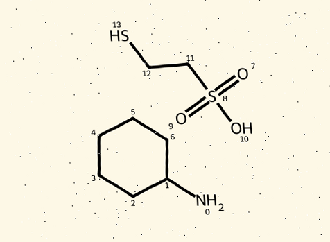 NC1CCCCC1.O=S(=O)(O)CCS